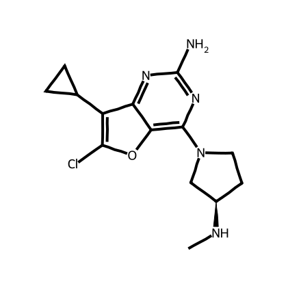 CN[C@@H]1CCN(c2nc(N)nc3c(C4CC4)c(Cl)oc23)C1